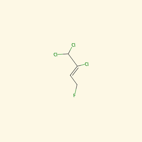 FCC=C(Cl)C(Cl)Cl